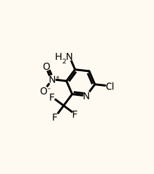 Nc1cc(Cl)nc(C(F)(F)F)c1[N+](=O)[O-]